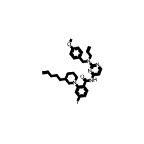 C=CCCCC1CCCN(c2cc(I)ccc2C(=O)Nc2ccnc(N(CC=C)Cc3ccc(OC)cc3)n2)C1